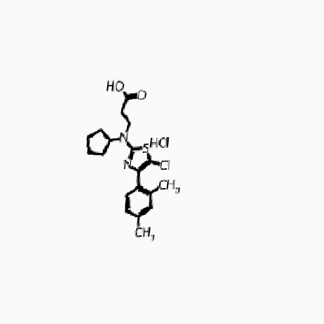 Cc1ccc(-c2nc(N(CCC(=O)O)C3CCCC3)sc2Cl)c(C)c1.Cl